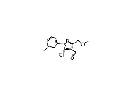 COCc1nn(-c2cccc(C)c2)c(Cl)c1C=O